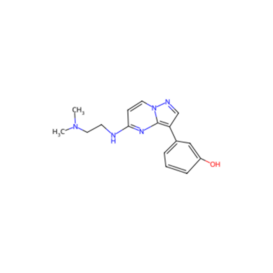 CN(C)CCNc1ccn2ncc(-c3cccc(O)c3)c2n1